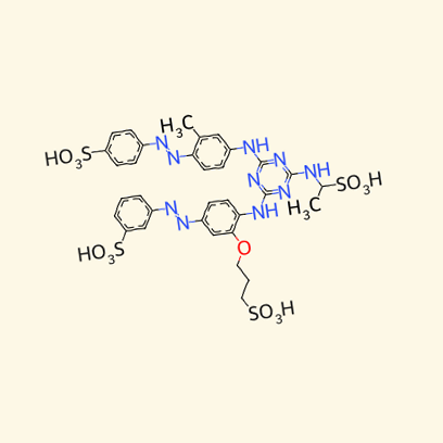 Cc1cc(Nc2nc(Nc3ccc(N=Nc4cccc(S(=O)(=O)O)c4)cc3OCCCS(=O)(=O)O)nc(NC(C)S(=O)(=O)O)n2)ccc1N=Nc1ccc(S(=O)(=O)O)cc1